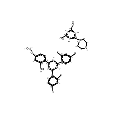 CCCCCCCCOc1ccc(-c2nc(-c3ccc(C)cc3C)nc(-c3ccc(C)cc3C)n2)c(O)c1.Clc1nc(Cl)nc(N2CCOCC2)n1